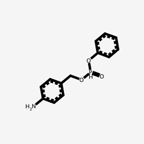 Nc1ccc(CO[PH](=O)Oc2ccccc2)cc1